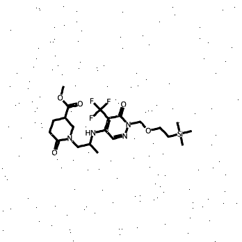 COC(=O)C1CCC(=O)N(CC(C)Nc2cnn(COCC[Si](C)(C)C)c(=O)c2C(F)(F)F)C1